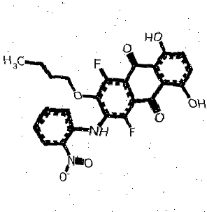 CCCCOc1c(F)c2c(c(F)c1Nc1ccccc1[N+](=O)[O-])C(=O)c1c(O)ccc(O)c1C2=O